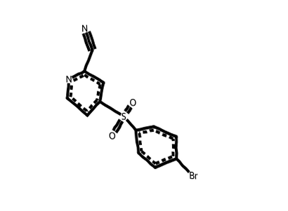 N#Cc1cc(S(=O)(=O)c2ccc(Br)cc2)ccn1